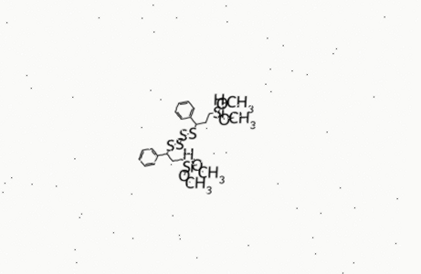 CO[SiH](CCC(SSSSC(CC[SiH](OC)OC)c1ccccc1)c1ccccc1)OC